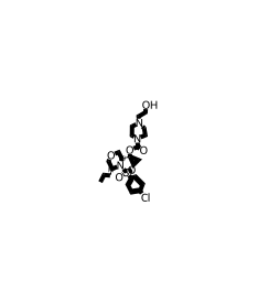 CCC[C@@H]1COC[C@H](C2(OC(=O)N3CCN(CCO)CC3)CC2)N1S(=O)(=O)c1ccc(Cl)cc1